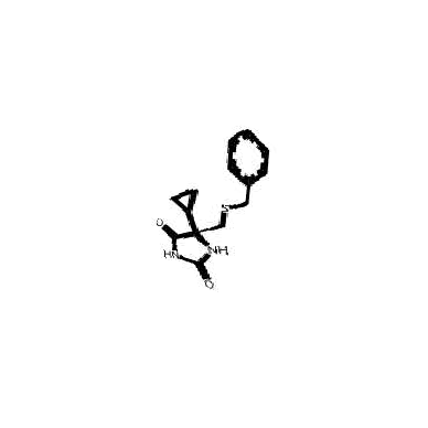 O=C1NC(=O)[C@](CSCc2ccccc2)(C2CC2)N1